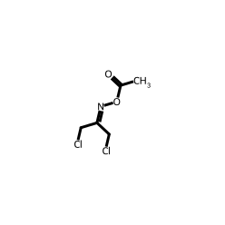 CC(=O)ON=C(CCl)CCl